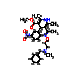 COC(=O)C1=C(C)NC(C)=C(C(C)=NOCCN(C)Cc2ccccc2)C1c1cccc([N+](=O)[O-])c1